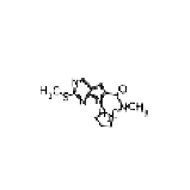 CSc1ncc2cc(C(=O)N(C)C)n(C3CCCC3)c2n1